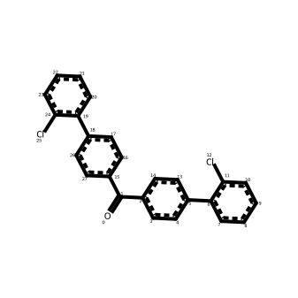 O=C(c1ccc(-c2ccccc2Cl)cc1)c1ccc(-c2ccccc2Cl)cc1